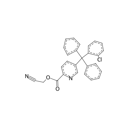 N#CCOC(=O)c1ccc(C(c2ccccc2)(c2ccccc2)c2ccccc2Cl)cn1